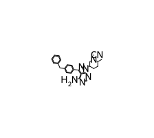 CC1CCC(n2nc(-c3ccc(Cc4ccccc4)cc3)c3c(N)ncnc32)CN1C#N